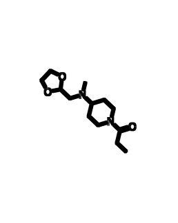 CCC(=O)N1CCC(N(C)CC2OCCO2)CC1